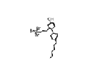 CCCCCCc1ccc(-c2ccc(O)cc2CCC[Si](Br)(Br)Br)cc1